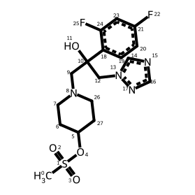 CS(=O)(=O)OC1CCN(CC(O)(Cn2cncn2)c2ccc(F)cc2F)CC1